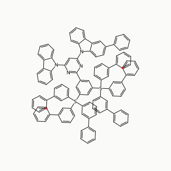 c1ccc(-c2cccc(S(c3cccc(-c4ccccc4)c3)(c3cccc(-c4ccccc4)c3)c3cc(-c4nc(-n5c6ccccc6c6ccccc65)cc(-n5c6ccccc6c6cc(-c7ccccc7)ccc65)n4)cc(S(c4cccc(-c5ccccc5)c4)(c4cccc(-c5ccccc5)c4)c4cccc(-c5ccccc5)c4)c3)c2)cc1